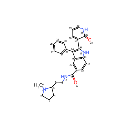 CN1CCCC1CCNC(=O)c1ccc2[nH]c(-c3ccc[nH]c3=O)c(-c3ccccc3)c2c1